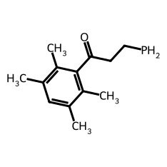 Cc1cc(C)c(C)c(C(=O)CCP)c1C